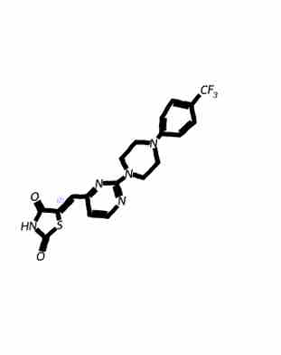 O=C1NC(=O)/C(=C/c2ccnc(N3CCN(c4ccc(C(F)(F)F)cc4)CC3)n2)S1